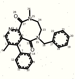 Cc1cnc2c(c1-c1ccccc1)C(=O)N(Cc1ccccc1)CCN(C)C2=O